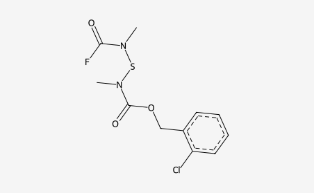 CN(SN(C)C(=O)OCc1ccccc1Cl)C(=O)F